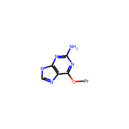 CC(C)Oc1nc(N)nc2c1N=C[N]2